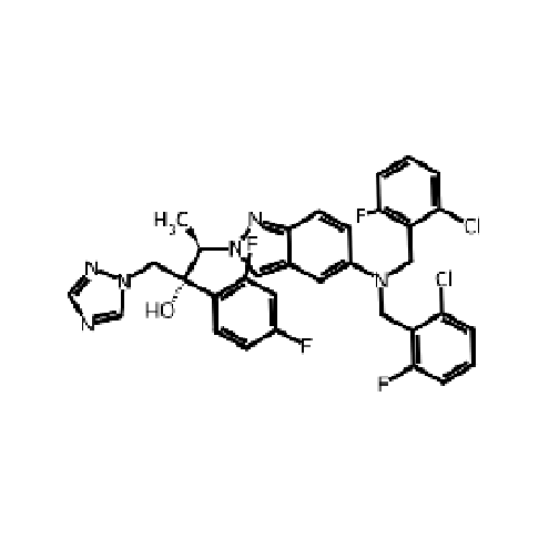 C[C@@H](n1cc2cc(N(Cc3c(F)cccc3Cl)Cc3c(F)cccc3Cl)ccc2n1)[C@](O)(Cn1cncn1)c1ccc(F)cc1F